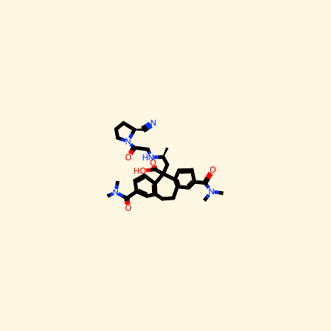 C[C@@H](CC1(C(=O)O)c2ccc(C(=O)N(C)C)cc2CCc2cc(C(=O)N(C)C)ccc21)NCC(=O)N1CCC[C@H]1C#N